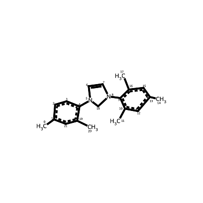 Cc1ccc(N2C=CN(c3c(C)cc(C)cc3C)C2)c(C)c1